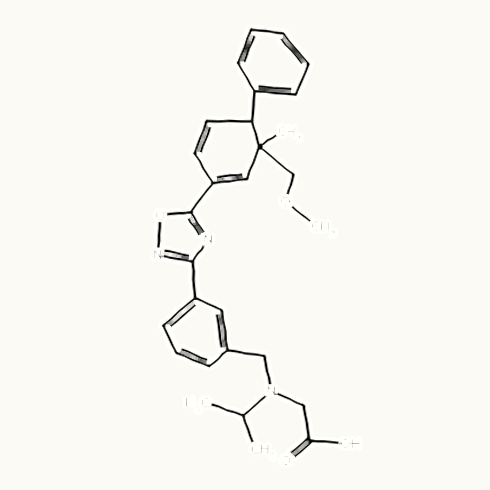 COCC1(C)C=C(c2nc(-c3cccc(CN(CC(=O)O)C(C)C)c3)no2)C=CC1c1ccccc1